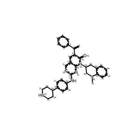 C=C(c1ccccc1)c1cc2cnc(Nc3ccc(C4CCNCC4)cc3)nc2n(C2Cc3ccccc3N(C)C2)c1=O